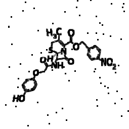 CC1=C(C(=O)OCc2ccc([N+](=O)[O-])cc2)N2C(=O)C(NC(=O)COc3ccc(O)cc3)[C@H]2SC1